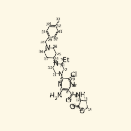 CC[C@H]1CN(c2nc(N)c(C(=O)NC3CCOC3=O)nc2Cl)CCN1C1CCN(Cc2ccc(C)cc2)CC1